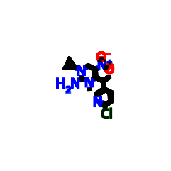 CC(C1=C([N+](=O)[O-])CN(C2CC2)C(N)N1C)c1ccc(Cl)nc1